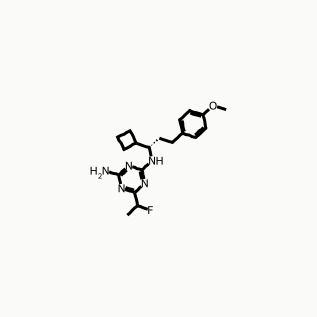 COc1ccc(CC[C@H](Nc2nc(N)nc(C(C)F)n2)C2CCC2)cc1